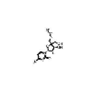 [N-]=[N+]=NCC1(CO)O[C@@H](n2ccc(N)nc2=O)[C@H](F)[C@@H]1O